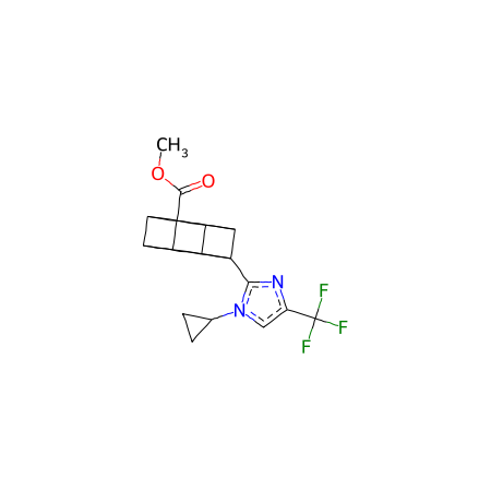 COC(=O)C12C3C4C1C1C2C3C41c1nc(C(F)(F)F)cn1C1CC1